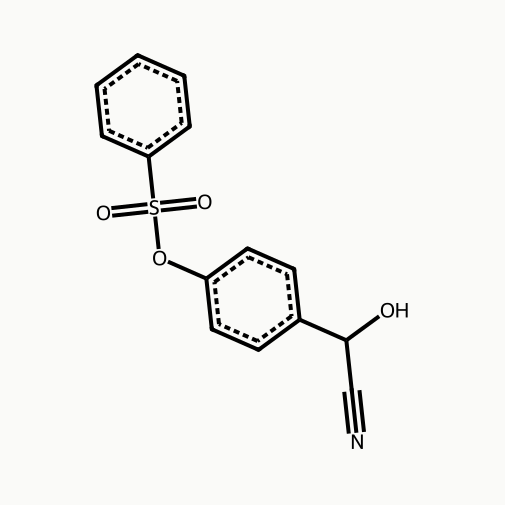 N#CC(O)c1ccc(OS(=O)(=O)c2ccccc2)cc1